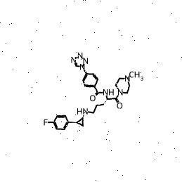 CN1CCN(C(=O)[C@H](CCCN[C@@H]2C[C@H]2c2ccc(F)cc2)NC(=O)c2ccc(-n3cnnn3)cc2)CC1